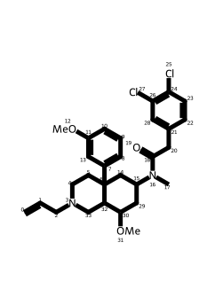 C=CCN1CCC2(c3cccc(OC)c3)CC(N(C)C(=O)Cc3ccc(Cl)c(Cl)c3)CC(OC)C2C1